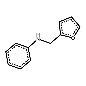 c1ccc(NCc2ccco2)cc1